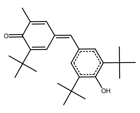 CC1=CC(=Cc2cc(C(C)(C)C)c(O)c(C(C)(C)C)c2)C=C(C(C)(C)C)C1=O